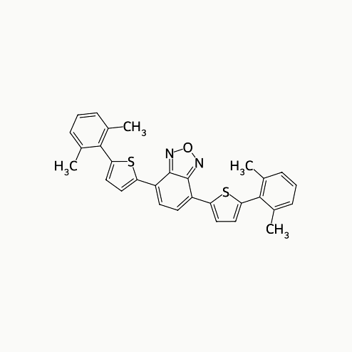 Cc1cccc(C)c1-c1ccc(-c2ccc(-c3ccc(-c4c(C)cccc4C)s3)c3nonc23)s1